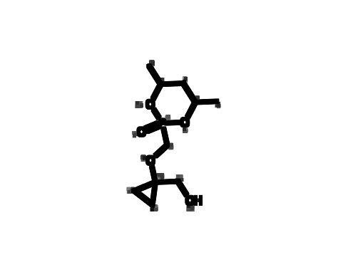 CC1CC(C)OP(=O)(COC2(CO)CC2)O1